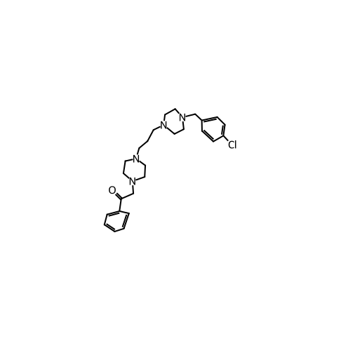 O=C(CN1CCN(CCCN2CCN(Cc3ccc(Cl)cc3)CC2)CC1)c1ccccc1